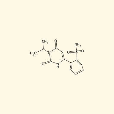 CC(C)n1c(=O)cc(-c2ccccc2S(N)(=O)=O)[nH]c1=O